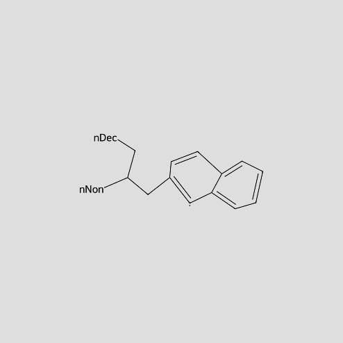 CCCCCCCCCCCC(CCCCCCCCC)Cc1[c]c2ccccc2cc1